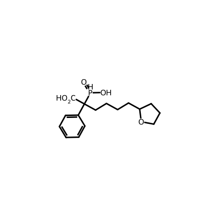 O=C(O)C(CCCCC1CCCO1)(c1ccccc1)[PH](=O)O